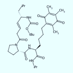 CC1=C(C)C(=O)C(CCCC[C@H](NC(=O)[C@@H]2CCCN2C(=O)C/C=C/[C@H](CC(C)C)NC(=O)OC(C)(C)C)C(=O)NC(C)C)=C(C)C1=O